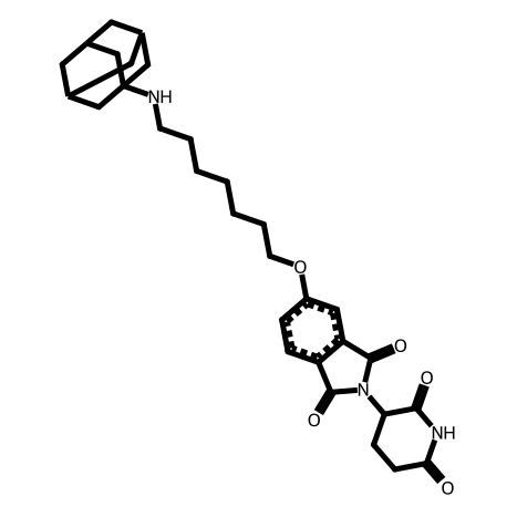 O=C1CCC(N2C(=O)c3ccc(OCCCCCCCNC45CC6CC(CC(C6)C4)C5)cc3C2=O)C(=O)N1